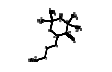 CCCCCCCCCCCCN1CC(C)(C)NC(C)(C)C1=O